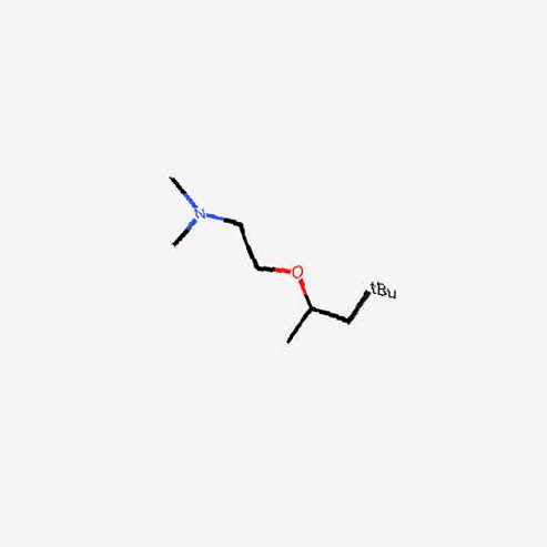 CC(CC(C)(C)C)OCCN(C)C